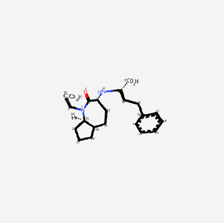 O=C(O)CN1C(=O)[C@@H](N[C@@H](CCc2ccccc2)C(=O)O)CCC2CCC[C@H]21